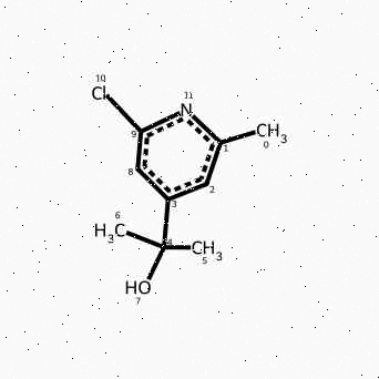 Cc1cc(C(C)(C)O)cc(Cl)n1